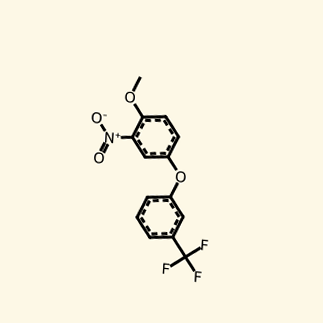 COc1ccc(Oc2cccc(C(F)(F)F)c2)cc1[N+](=O)[O-]